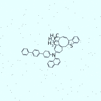 CC1/C=C\c2c(sc3ccccc23)CC2=C(C=CC(N(C3=CCC(c4ccc(-c5ccccc5)cc4)C=C3)c3cccc4ccccc34)=CC2)C1(C)C